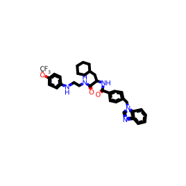 O=C(NC(CC1CCCCC1)C(=O)NCCNc1ccc(OC(F)(F)F)cc1)c1ccc(Cn2cnc3ccccc32)cc1